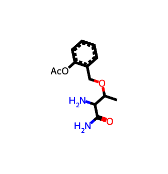 CC(=O)Oc1ccccc1COC(C)C(N)C(N)=O